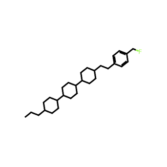 CCCC1CCC(C2CCC(C3CCC(CCc4ccc(CF)cc4)CC3)CC2)CC1